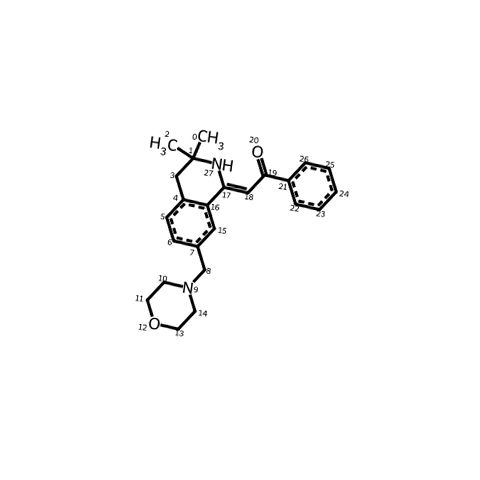 CC1(C)Cc2ccc(CN3CCOCC3)cc2C(=CC(=O)c2ccccc2)N1